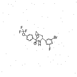 O=S(=O)(N[C@@H](CC1CC1)c1cc(F)cc(Br)c1)c1ccc(OC(F)(F)F)cc1